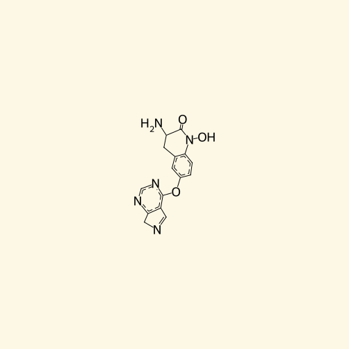 NC1Cc2cc(Oc3ncnc4c3C=NC4)ccc2N(O)C1=O